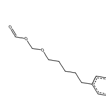 O=[C]OCOCCCCCc1ccccc1